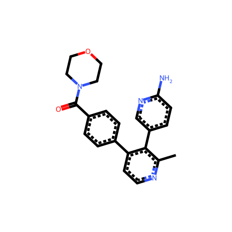 Cc1nccc(-c2ccc(C(=O)N3CCOCC3)cc2)c1-c1ccc(N)nc1